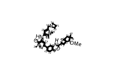 CO[C@@H]1c2cc(C(=O)Nc3cc(-c4cc(Nc5cc(CN6CCC6)n(C)n5)c(=O)n(C)n4)ccc3F)sc2CC1(C)C